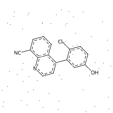 N#Cc1cccc2c(-c3cc(O)ccc3Cl)ccnc12